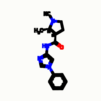 C[C@H]1[C@@H](C(=O)Nc2cn(-c3ccccc3)cn2)CCN1C#N